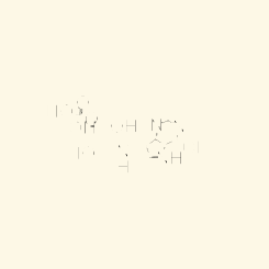 O=P(O)(O)OC[C@H](O)[C@@H](CO)NCc1c[nH]c2c(O)ncnc12